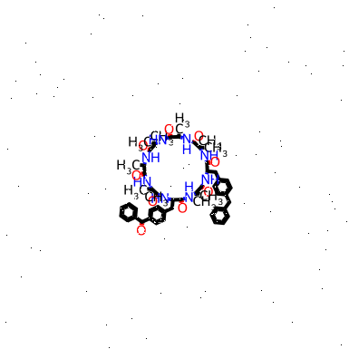 CC1NC(=O)C(C)(C)NC(=O)C(C)NC(=O)C(C)(C)NC(=O)C(Cc2ccc(Cc3ccccc3)cc2)NC(=O)C(C)(C)NC(=O)C(Cc2ccc(C(=O)c3ccccc3)cc2)NC(=O)C(C)(C)NC1=O